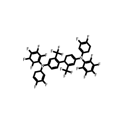 FC1=CCC(N(C2=C(F)C(F)=C(F)C(F)C2F)c2ccc(C3CC=C(N(C4=CC(F)=C(F)CC4)c4c(F)c(F)c(F)c(F)c4F)C=C3C(F)(F)F)c(C(F)(F)F)c2)C=C1F